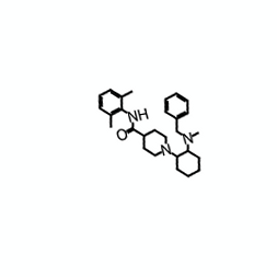 Cc1cccc(C)c1NC(=O)C1CCN(C2CCCCC2N(C)Cc2ccccc2)CC1